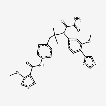 COc1cscc1C(=O)Nc1ccc(CC(C)(C)N(C(=O)C(N)=O)c2ccc(-c3cnco3)c(OC)c2)cc1